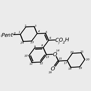 CCCCCC1CCC(C=C(C(=O)O)c2ccccc2OC(=O)C2CCCCC2)CC1